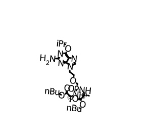 CCCCOC(=O)[C@H](C)NP(=O)(COCCn1cnc2c(OC(C)C)nc(N)nc21)N[C@@H](C)C(=O)OCCCC